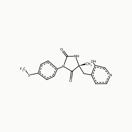 C[C@]1(Cc2ccncc2O)NC(=O)N(c2ccc(SC(F)(F)F)cc2)C1=O